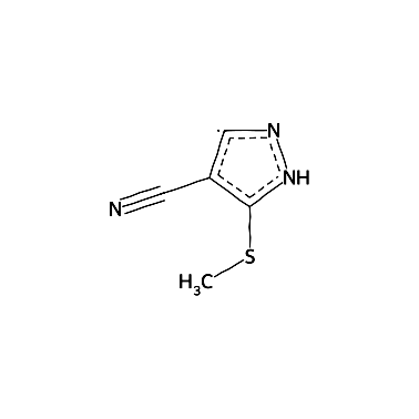 CSc1[nH]n[c]c1C#N